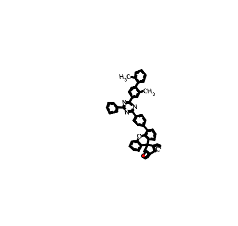 Cc1ccccc1-c1ccc(-c2nc(-c3ccccc3)nc(-c3ccc(-c4cccc5c4Oc4ccccc4C54c5ccccc5-c5ccccc54)cc3)n2)cc1C